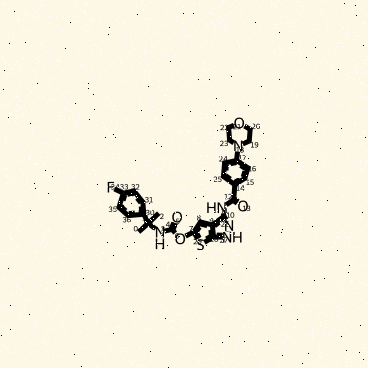 CC(C)(NC(=O)Oc1cc2c(NC(=O)c3ccc(N4CCOCC4)cc3)n[nH]c2s1)c1ccc(F)cc1